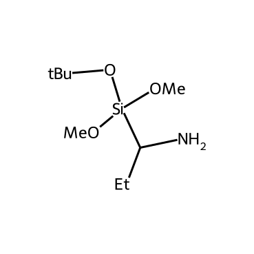 CCC(N)[Si](OC)(OC)OC(C)(C)C